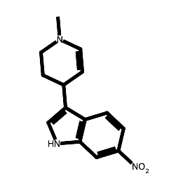 CN1C=CC(c2c[nH]c3cc([N+](=O)[O-])ccc23)CC1